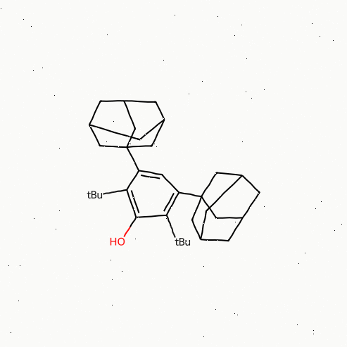 CC(C)(C)c1c(C23CC4CC(CC(C4)C2)C3)cc(C23CC4CC(CC(C4)C2)C3)c(C(C)(C)C)c1O